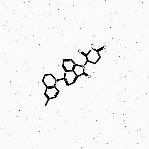 Cc1ccc2c(c1)CCCN2c1ccc2c3c(cccc13)N(C1CCC(=O)NC1=O)C2=O